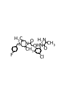 C[C@H](N)C(=O)Nc1cc(Cl)ccc1OCC(=O)N1C[C@H](C)N(Cc2ccc(F)cc2)C[C@H]1C